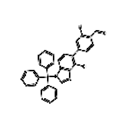 Cc1c(-c2ccc(C=O)c(Cl)c2)ccc2c1ncn2C(c1ccccc1)(c1ccccc1)c1ccccc1